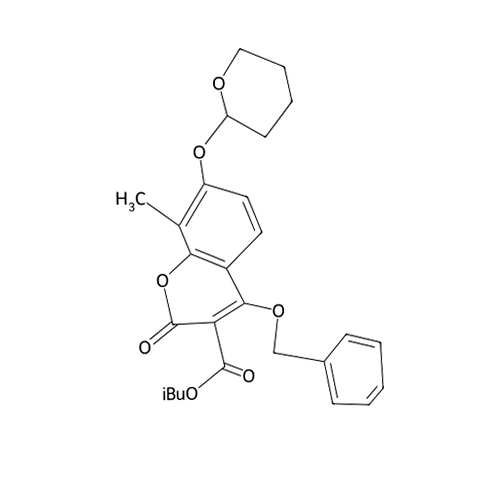 Cc1c(OC2CCCCO2)ccc2c(OCc3ccccc3)c(C(=O)OCC(C)C)c(=O)oc12